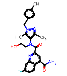 Cc1c(N(CCO)C(=O)c2cc(C(N)=O)c3ccc(F)cc3n2)c(C(F)(F)F)nn1Cc1ccc(C#N)cc1